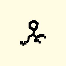 C=C(C)C(CCC)c1ccccc1